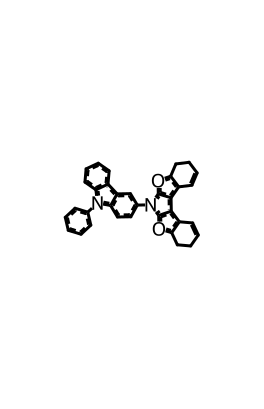 C1=Cc2c(oc3c2c2c4c(oc2n3-c2ccc3c(c2)c2ccccc2n3-c2ccccc2)CCC=C4)CC1